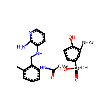 CC(=O)Nc1cc([As](=O)(O)O)ccc1O.COC(=O)Nc1cccc(C)c1CNc1cccnc1N